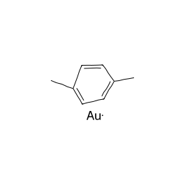 Cc1ccc(C)cc1.[Au]